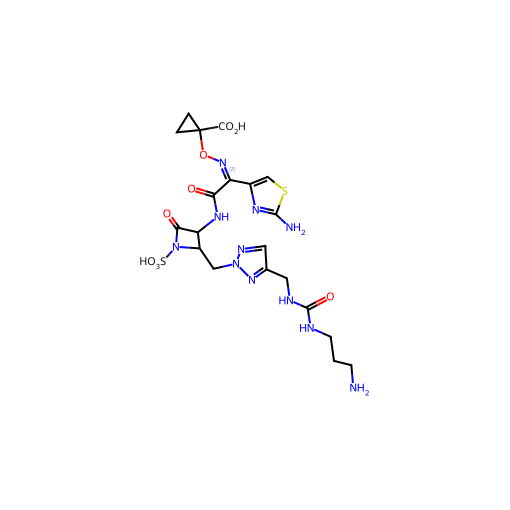 NCCCNC(=O)NCc1cnn(CC2C(NC(=O)/C(=N\OC3(C(=O)O)CC3)c3csc(N)n3)C(=O)N2S(=O)(=O)O)n1